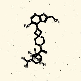 [2H]C([2H])=C1C[C@@H]2CC[C@H]1[C@@H](C(=O)N1CCC3(CC1)CN(c1c(C(F)(F)F)cnc4sc(CC(F)(F)F)cc14)C3)N2